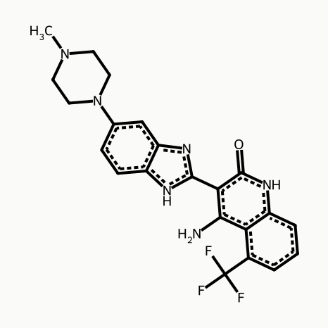 CN1CCN(c2ccc3[nH]c(-c4c(N)c5c(C(F)(F)F)cccc5[nH]c4=O)nc3c2)CC1